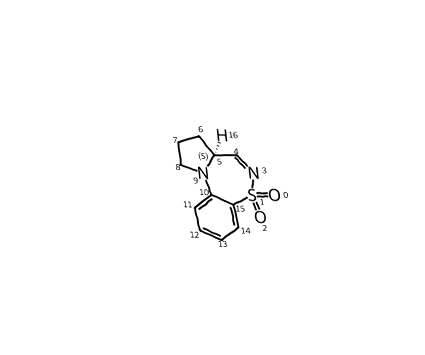 O=S1(=O)N=C[C@@H]2CCCN2c2ccccc21